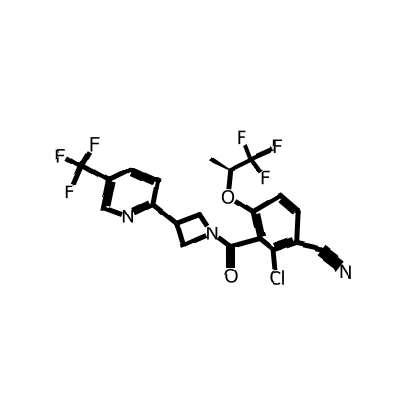 C[C@H](Oc1ccc(C#N)c(Cl)c1C(=O)N1CC(c2ccc(C(F)(F)F)cn2)C1)C(F)(F)F